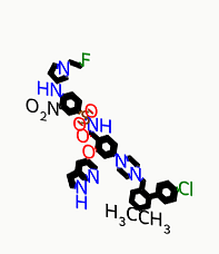 CC1(C)CCC(CN2CCN(c3ccc(C(=O)NS(=O)(=O)c4ccc(N[C@@H]5CCN(CCF)C5)c([N+](=O)[O-])c4)c(Oc4cnc5[nH]ccc5c4)c3)CC2)=C(c2ccc(Cl)cc2)C1